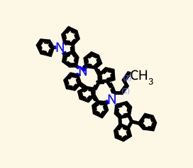 C/C=C\C=C/c1cc2cccc3c4ccccc4n(-c4ccc5c(c4)c4ccccc4n5-c4ccccc4)c4ccccc4c4cccc(c5ccccc5n1-c1ccc5c(c1)-c1ccccc1C5c1ccccc1)c4c23